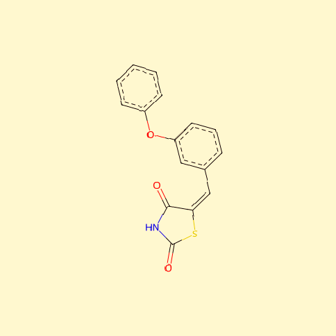 O=C1NC(=O)/C(=C\c2cccc(Oc3ccccc3)c2)S1